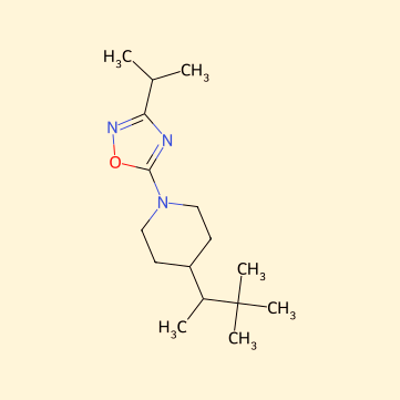 CC(C)c1noc(N2CCC(C(C)C(C)(C)C)CC2)n1